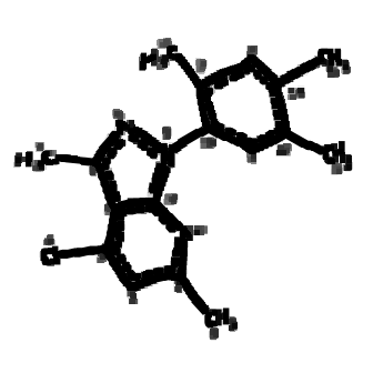 Cc1cc(Cl)c2c(C)nn(-c3cc(C)c(C)cc3C)c2n1